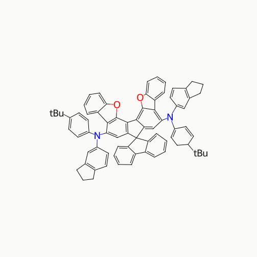 CC(C)(C)c1ccc(N(c2ccc3c(c2)CCC3)c2cc3c(c4oc5ccccc5c24)-c2c(cc(N(C4=CCC(C(C)(C)C)C=C4)c4ccc5c(c4)CCC5)c4c2oc2ccccc24)C32c3ccccc3-c3ccccc32)cc1